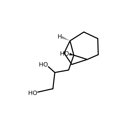 OCC(O)C[C@@]1(O)C2CCC[C@@H]1CC2